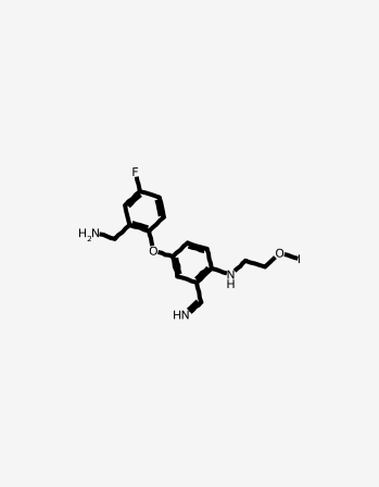 N=Cc1cc(Oc2ccc(F)cc2CN)ccc1NCCOI